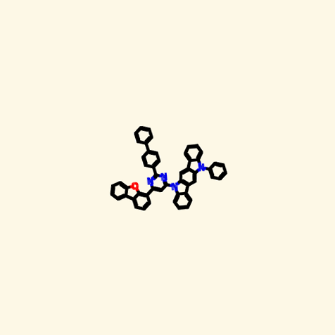 c1ccc(-c2ccc(-c3nc(-c4cccc5c4oc4ccccc45)cc(-n4c5ccccc5c5cc6c(cc54)c4ccccc4n6-c4ccccc4)n3)cc2)cc1